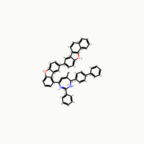 CC1=C=C(c2cccc3oc4ccc(-c5ccc6oc7c8ccccc8ccc7c6c5)cc4c23)N=C(c2ccccc2)NC1c1ccc(-c2ccccc2)cc1